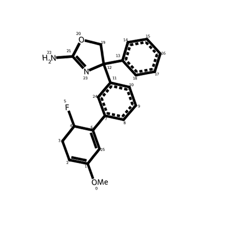 COC1=CCC(F)C(c2cccc(C3(c4ccccc4)COC(N)=N3)c2)=C1